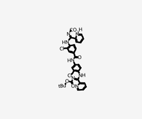 CC(C)(C)OC(=O)/N=C(/Nc1ccc(NC(=O)c2ccc(N/C(=N/C(=O)O)c3ccccn3)c(Cl)c2)cc1Cl)c1ccccn1